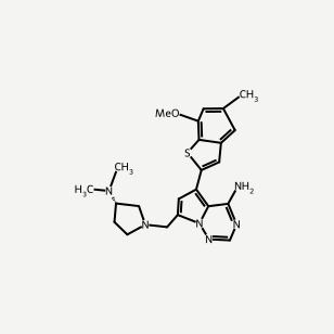 COc1cc(C)cc2cc(-c3cc(CN4CC[C@H](N(C)C)C4)n4ncnc(N)c34)sc12